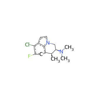 C[C@H]1c2cc(F)c(Cl)c3ccn(c23)C[C@H]1N(C)C